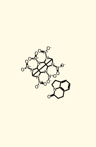 O=C1CCc2cccc3c2N1CC3.O=[N+]([O-])N1C2C3N([N+](=O)[O-])C1C1N([N+](=O)[O-])C(C(N1[N+](=O)[O-])N3[N+](=O)[O-])N2[N+](=O)[O-]